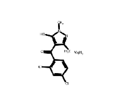 Cc1nn(C)c(O)c1C(=O)c1ccc(Cl)cc1Cl.[MgH2]